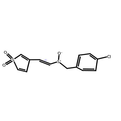 O=S1(=O)C=CC(/C=C/[S+]([O-])Cc2ccc(Cl)cc2)=C1